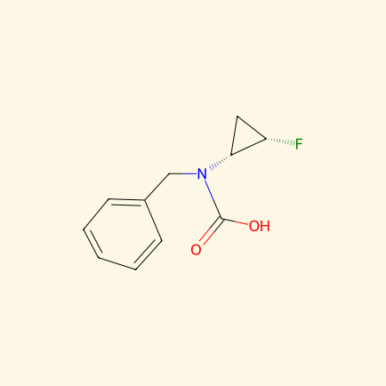 O=C(O)N(Cc1ccccc1)[C@@H]1C[C@@H]1F